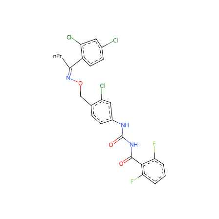 CCCC(=NOCc1ccc(NC(=O)NC(=O)c2c(F)cccc2F)cc1Cl)c1ccc(Cl)cc1Cl